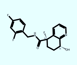 O=C(NCc1ccc(F)cc1F)[C@]1(F)CC[C@@H](O)c2ncccc21